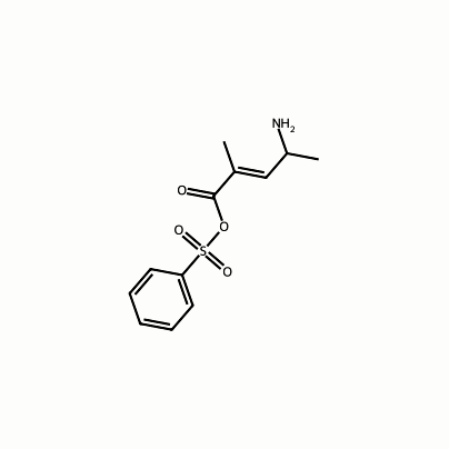 CC(=CC(C)N)C(=O)OS(=O)(=O)c1ccccc1